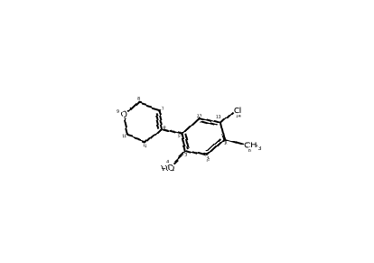 Cc1cc(O)c(C2=CCOCC2)cc1Cl